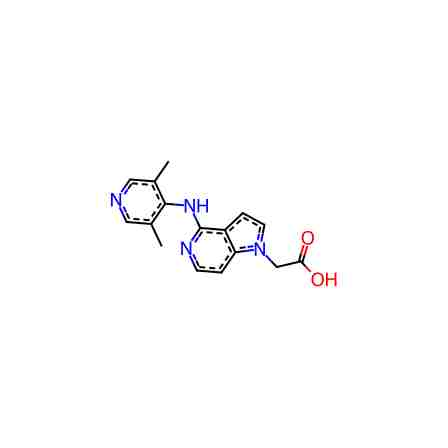 Cc1cncc(C)c1Nc1nccc2c1ccn2CC(=O)O